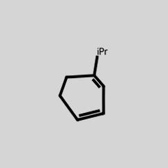 CC(C)C1=CC=CCC1